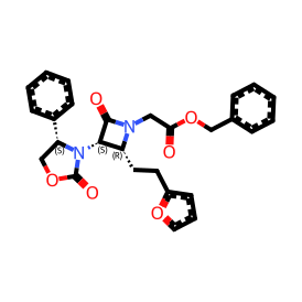 O=C(CN1C(=O)[C@@H](N2C(=O)OC[C@@H]2c2ccccc2)[C@H]1CCc1ccco1)OCc1ccccc1